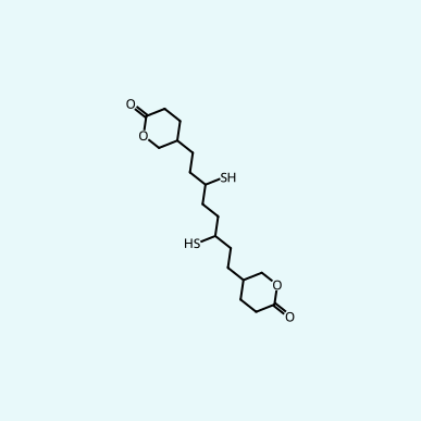 O=C1CCC(CCC(S)CCC(S)CCC2CCC(=O)OC2)CO1